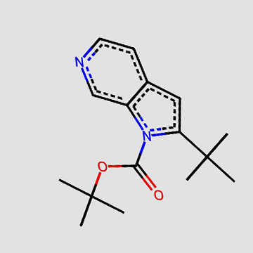 CC(C)(C)OC(=O)n1c(C(C)(C)C)cc2ccncc21